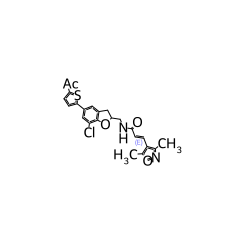 CC(=O)c1ccc(-c2cc(Cl)c3c(c2)CC(CNC(=O)/C=C/c2c(C)noc2C)O3)s1